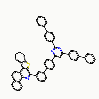 C1=c2sc3c(-c4cccc(-c5ccc(-c6cc(-c7ccc(-c8ccccc8)cc7)nc(-c7ccc(-c8ccccc8)cc7)n6)cc5)c4)nc4c5ccccc5ccc4c3c2=CCC1